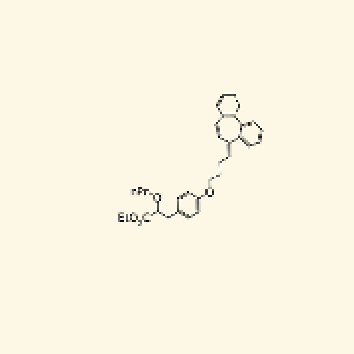 CCCOC(Cc1ccc(OCCCC=C2C=CC3=C(CCC=C3)c3ccccc32)cc1)C(=O)OCC